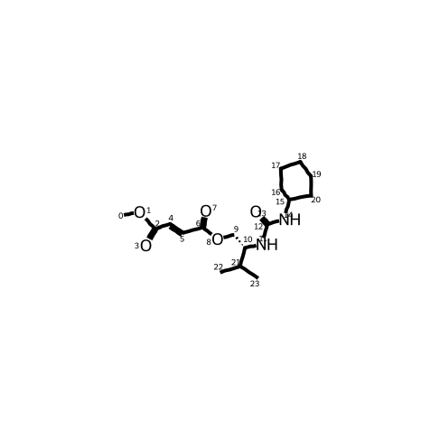 COC(=O)/C=C/C(=O)OC[C@H](NC(=O)NC1CCCCC1)C(C)C